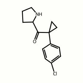 O=C(C1CCCN1)C1(c2ccc(Cl)cc2)CC1